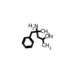 CC(O)CC(C)(N)Cc1ccccc1